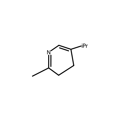 CC1=NC=C(C(C)C)CC1